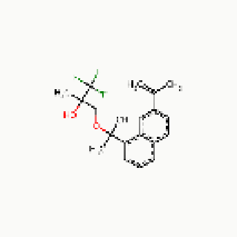 C=C(C)c1ccc2cccc(C(C)(C)OCC(C)(O)C(F)(F)F)c2c1